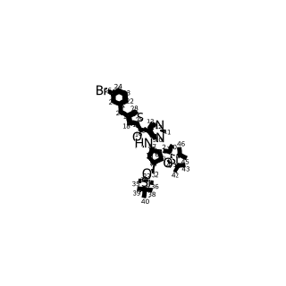 CC(C)[Si](O[C@H]1C[C@H](Nc2ncncc2C(=O)c2cc(Cc3cccc(Br)c3)cs2)C[C@@H]1CO[Si](C)(C)C(C)(C)C)(C(C)C)C(C)C